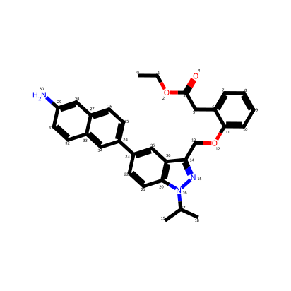 CCOC(=O)Cc1ccccc1OCc1nn(C(C)C)c2ccc(-c3ccc4cc(N)ccc4c3)cc12